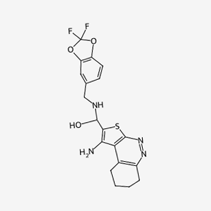 Nc1c(C(O)NCc2ccc3c(c2)OC(F)(F)O3)sc2nnc3c(c12)CCCC3